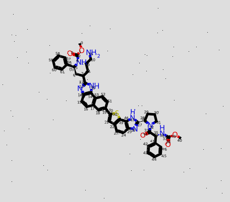 COC(=O)N[C@@H](CC(CCCN)c1nc2ccc3cc(-c4cc5ccc6nc([C@@H]7CCCN7C(=O)[C@H](NC(=O)OC)c7ccccc7)[nH]c6c5s4)ccc3c2[nH]1)c1ccccc1